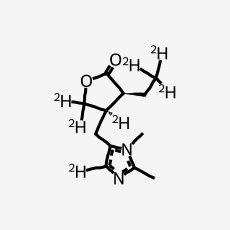 [2H]c1nc(C)n(C)c1C[C@]1([2H])[C@H](CC([2H])([2H])[2H])C(=O)OC1([2H])[2H]